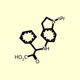 CCCN1CCc2cc(NC(C(=O)C(=O)O)c3ccccc3)ccc21